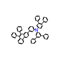 c1ccc(-c2cc(-c3ccccc3)cc(N(c3cccc(-c4ccc5c(c4)c(-c4ccccc4)c(-c4ccccc4)c4ccccc45)c3)c3ccc(-c4ccccc4)c(-c4ccccc4)c3)c2)cc1